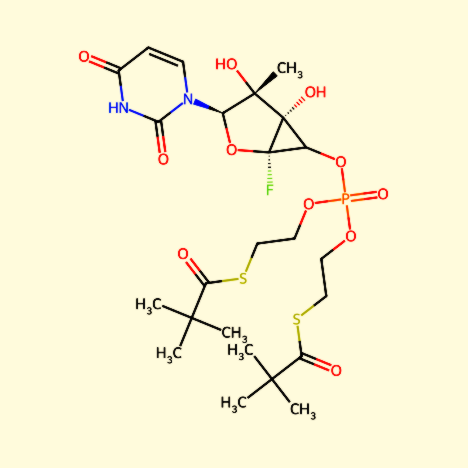 CC(C)(C)C(=O)SCCOP(=O)(OCCSC(=O)C(C)(C)C)OC1[C@]2(O)[C@@](C)(O)[C@H](n3ccc(=O)[nH]c3=O)O[C@]12F